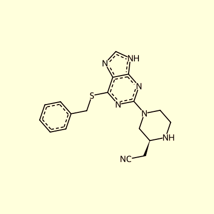 N#CC[C@H]1CN(c2nc(SCc3ccccc3)c3nc[nH]c3n2)CCN1